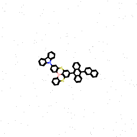 c1ccc2c(c1)Sc1cc(-c3c4ccccc4c(-c4ccc5ccccc5c4)c4ccccc34)cc3c1B2c1ccc(-n2c4ccccc4c4ccccc42)cc1S3